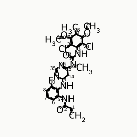 C=CC(=O)Nc1cccc(F)c1N[C@@H]1CC(N(C)C(=O)NC2=C(Cl)C(OC)C(C)C(OC)=C2Cl)=NC=N1